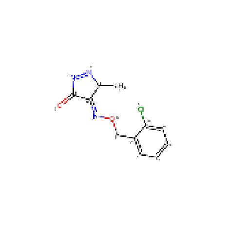 CC1N=NC(=O)C1=NOCc1ccccc1Cl